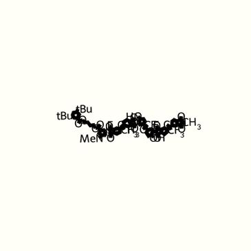 CNc1cc(C(=O)OCCCCOC(=O)c2cc(C(C)(C)C)cc(C(C)(C)C)c2)cc(N2C(=O)c3ccc(C(c4ccc5c(c4)C(=O)N(c4cc(C(C)(c6ccc(O)c(N7C(=O)c8ccc(C(c9ccc%10c(c9)C(=O)N(C)C%10=O)(C(F)(F)F)C(F)(F)F)cc8C7=O)c6)C(F)(F)F)ccc4O)C5=O)(C(F)(F)F)C(F)(F)F)cc3C2=O)c1